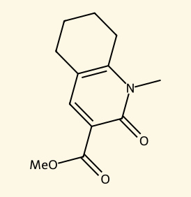 COC(=O)c1cc2c(n(C)c1=O)CCCC2